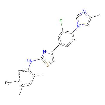 CCc1cc(Nc2nc(-c3ccc(-n4cnc(C)c4)c(F)c3)cs2)c(C)cc1C